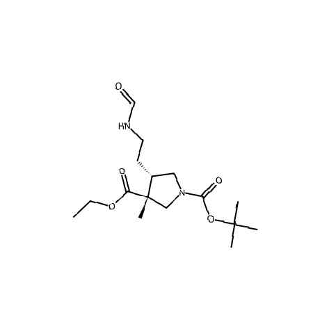 CCOC(=O)[C@@]1(C)CN(C(=O)OC(C)(C)C)C[C@H]1CCNC=O